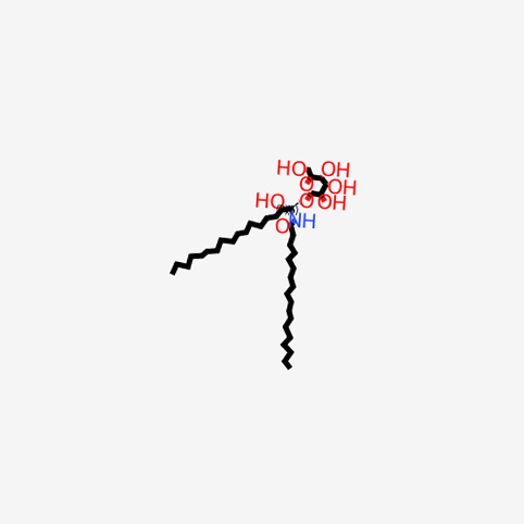 CCCCCCCCCCCCCCCCCC(=O)N[C@@H](COC1OC(CO)C(O)C(O)C1O)[C@H](O)CCCCCCCCCCCCCCC